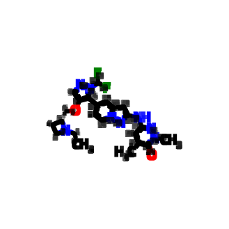 CCN1CC[C@@H]1COc1cnn(C(F)F)c1-c1ccn2nc(Nc3cc(C)c(=O)n(C)n3)cc2c1